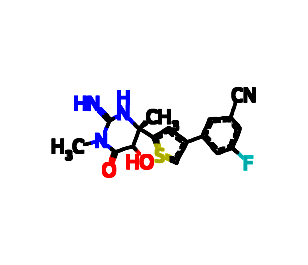 CN1C(=N)N[C@](C)(c2cc(-c3cc(F)cc(C#N)c3)cs2)C(O)C1=O